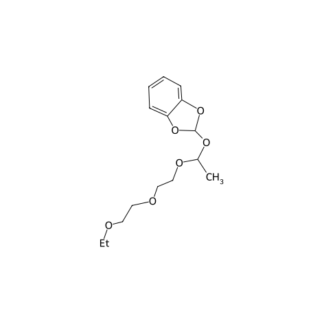 CCOCCOCCOC(C)OC1Oc2ccccc2O1